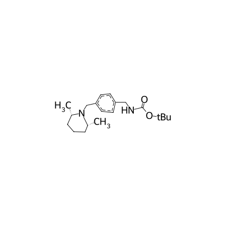 C[C@@H]1CCC[C@H](C)N1Cc1ccc(CNC(=O)OC(C)(C)C)cc1